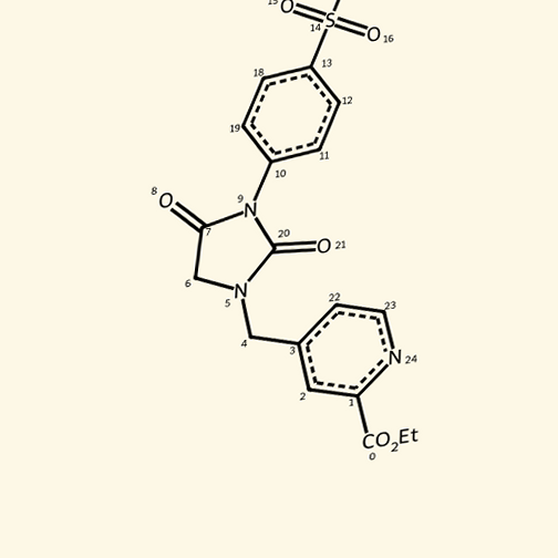 CCOC(=O)c1cc(CN2CC(=O)N(c3ccc(S(=O)(=O)C(F)(F)F)cc3)C2=O)ccn1